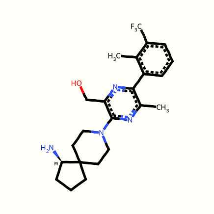 Cc1nc(N2CCC3(CCC[C@H]3N)CC2)c(CO)nc1-c1cccc(C(F)(F)F)c1C